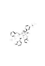 COc1cccc(S(=O)(=O)N(Cc2cccs2)CC(O)C(Cc2ccccc2)NC(=O)c2cccc(F)c2C)c1